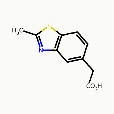 Cc1nc2cc(CC(=O)O)ccc2s1